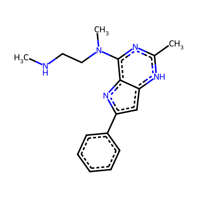 CNCCN(C)c1nc(C)[nH]c2cc(-c3ccccc3)nc1-2